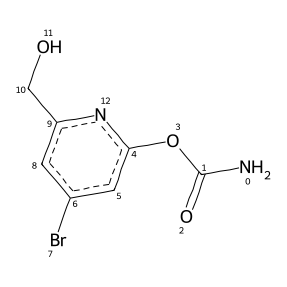 NC(=O)Oc1cc(Br)cc(CO)n1